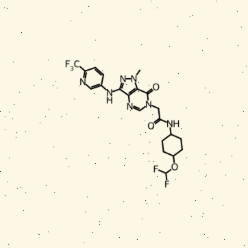 Cn1nc(Nc2ccc(C(F)(F)F)nc2)c2ncn(CC(=O)NC3CCC(OC(F)F)CC3)c(=O)c21